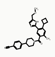 COCc1cnc(-c2cc(C(=O)N3CCC(c4ccc(C#N)cc4)CC3)c(C)cc2C2CCC2)[nH]1